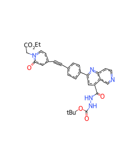 CCOC(=O)Cn1ccc(C#Cc2ccc(-c3cc(C(=O)NNC(=O)OC(C)(C)C)c4cnccc4n3)cc2)cc1=O